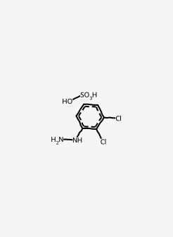 NNc1cccc(Cl)c1Cl.O=S(=O)(O)O